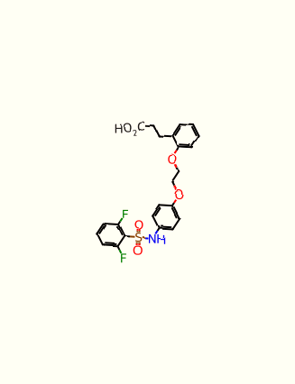 O=C(O)CCc1ccccc1OCCOc1ccc(NS(=O)(=O)c2c(F)cccc2F)cc1